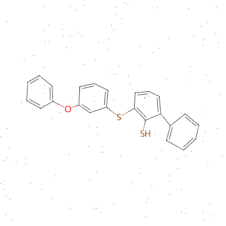 Sc1c(Sc2cccc(Oc3ccccc3)c2)cccc1-c1ccccc1